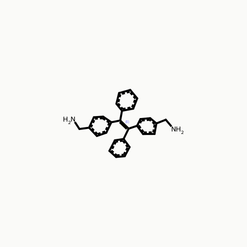 NCc1ccc(/C(=C(\c2ccccc2)c2ccc(CN)cc2)c2ccccc2)cc1